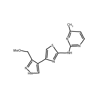 COCc1n[nH]cc1-c1csc(Nc2nccc(C)n2)n1